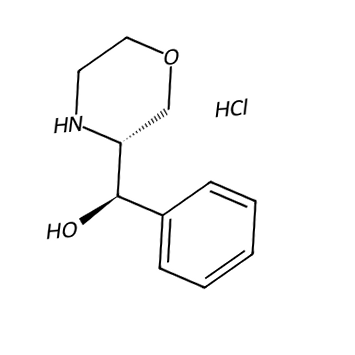 Cl.O[C@H](c1ccccc1)[C@H]1COCCN1